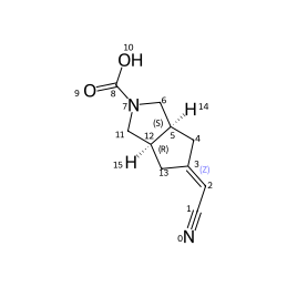 N#C/C=C1/C[C@@H]2CN(C(=O)O)C[C@@H]2C1